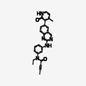 CC#CC(=O)N(CC)c1cccc(Nc2ncc3cc(-c4c(C)cc[nH]c4=O)ccc3n2)c1